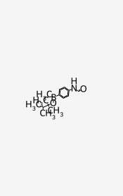 CB(OC(C)(C)C(C)C)c1ccc(NC=O)cc1